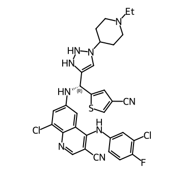 CCN1CCC(N2C=C([C@@H](Nc3cc(Cl)c4ncc(C#N)c(Nc5ccc(F)c(Cl)c5)c4c3)c3cc(C#N)cs3)NN2)CC1